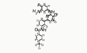 Cc1c(NC(=O)c2ccc(C(C)(C)C)cc2)cccc1-c1cn(C)c(=O)c(Nc2ccc(F)c(N)c2)n1